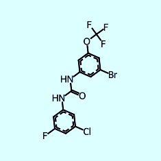 O=C(Nc1cc(F)cc(Cl)c1)Nc1cc(Br)cc(OC(F)(F)F)c1